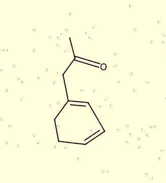 CC(=O)CC1=CC=CCC1